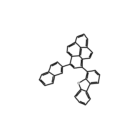 c1ccc2cc(-c3cc(-c4cccc5c4oc4ccccc45)c4ccc5cccc6ccc3c4c65)ccc2c1